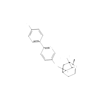 Cc1ccc(-c2ccc(O[C@@H]3C4CCN(CC4)[C@H]3C)cn2)cc1